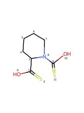 OC(=S)C1CCCCN1C(O)=S